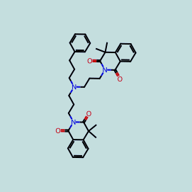 CC1(C)C(=O)N(CCCN(CCCc2ccccc2)CCCN2C(=O)c3ccccc3C(C)(C)C2=O)C(=O)c2ccccc21